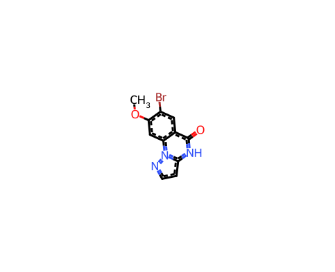 COc1cc2c(cc1Br)c(=O)[nH]c1ccnn12